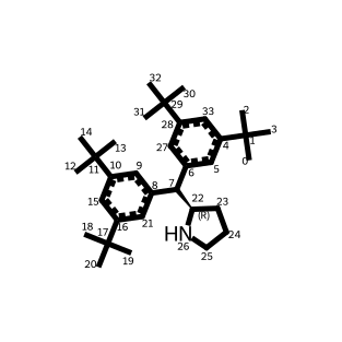 CC(C)(C)c1cc(C(c2cc(C(C)(C)C)cc(C(C)(C)C)c2)[C@H]2CCCN2)cc(C(C)(C)C)c1